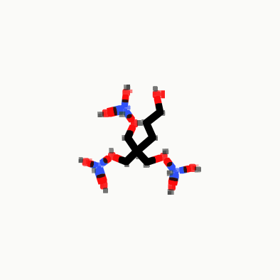 O=[N+]([O-])OCC(CCCO)(CO[N+](=O)[O-])CO[N+](=O)[O-]